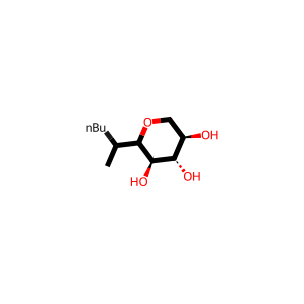 CCCCC(C)C1OC[C@@H](O)[C@H](O)[C@H]1O